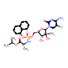 CC(C)OC(=O)[C@@H](C)N[P@@](=O)(OC[C@H]1OC(n2cc(Cl)c(N)nc2=O)[C@](C)(O)[C@@H]1O)Oc1cccc2ccccc12